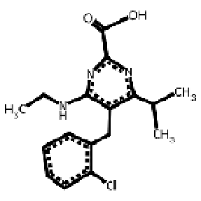 CCNc1nc(C(=O)O)nc(C(C)C)c1Cc1ccccc1Cl